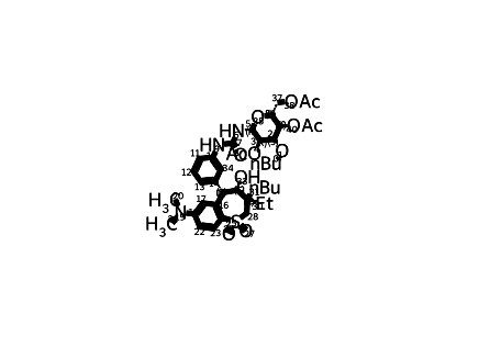 CCCCO[C@@H]1[C@@H](OC(C)=O)[C@H](NC(=O)Nc2cccc([C@H]3c4cc(N(C)C)ccc4S(=O)(=O)C[C@@](CC)(CCCC)[C@H]3O)c2)O[C@H](COC(C)=O)[C@H]1OC(C)=O